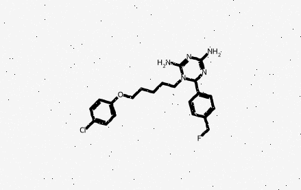 NC1=NC(c2ccc(CF)cc2)N(CCCCCOc2ccc(Cl)cc2)C(N)=N1